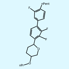 CCCCCc1ccc(-c2ccc(C3CCC(OCCC)CO3)c(F)c2F)cc1F